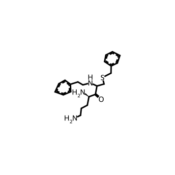 NCCC[C@@H](N)C(=O)C(CSCc1ccccc1)NCCc1ccccc1